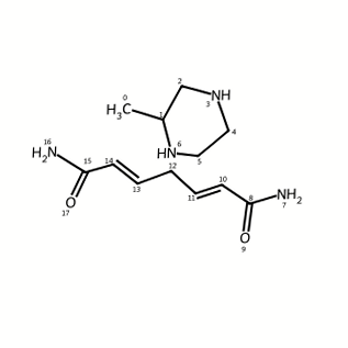 CC1CNCCN1.NC(=O)C=CCC=CC(N)=O